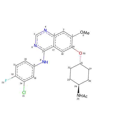 COc1cc2ncnc(Nc3ccc(F)c(Cl)c3)c2cc1O[C@H]1CC[C@H](NC(C)=O)CC1